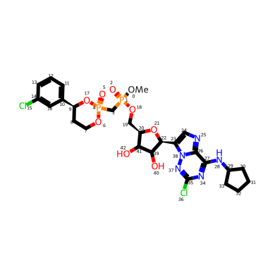 COP(=O)(CP1(=O)OCC[C@@H](c2cccc(Cl)c2)O1)OC[C@H]1O[C@@H](c2cnc3c(NC4CCCC4)nc(Cl)nn23)C(O)C1O